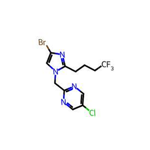 FC(F)(F)CCCc1nc(Br)cn1Cc1ncc(Cl)cn1